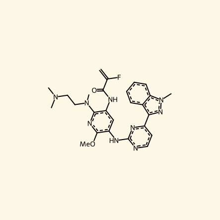 C=C(F)C(=O)Nc1cc(Nc2nccc(-c3nn(C)c4ccccc34)n2)c(OC)nc1N(C)CCN(C)C